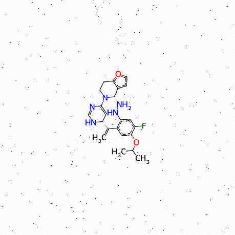 C=C(c1cc(OC(C)C)c(F)cc1NN)[C@H]1C=C(N2CCc3occc3C2)N=CN1